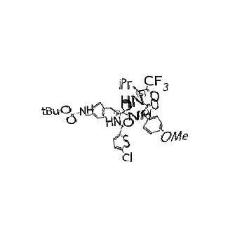 COc1ccc([C@H](NC(=O)[C@H](Cc2ccc(CNC(=O)OC(C)(C)C)cc2)NC(=O)c2ccc(Cl)s2)C(=O)N[C@H](C(=O)C(F)(F)F)C(C)C)cc1